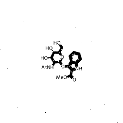 COC(=O)c1[nH]c2ccccc2c1OC1OC(CO)[C@@H](O)[C@H](O)C1NC(C)=O